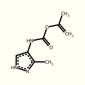 C=C(C)OC(=O)Nc1c[nH]nc1C